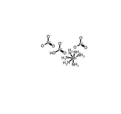 O=[N+]([O-])O.O=[N+]([O-])[O-].O=[N+]([O-])[O-].[NH2][Rh]([NH2])([NH2])([NH2])([NH2])[NH2]